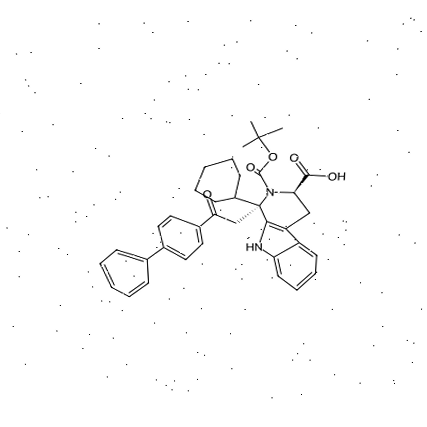 CC(C)(C)OC(=O)N1[C@@H](C(=O)O)Cc2c([nH]c3ccccc23)[C@@]1(CC(=O)c1ccc(-c2ccccc2)cc1)C1CCCCC1